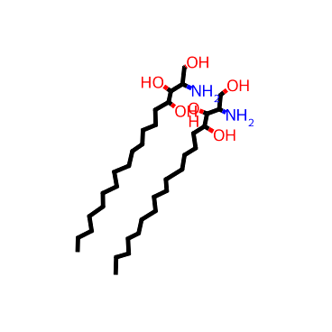 CCCCCCCCCCCCCCC(O)C(O)C(N)CO.CCCCCCCCCCCCCCC(O)C(O)C(N)CO